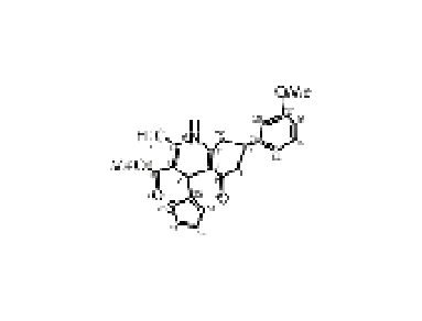 COC(=O)C1=C(C)NC2=C(C(=O)CC(c3cccc(OC)c3)C2)C1c1cccs1